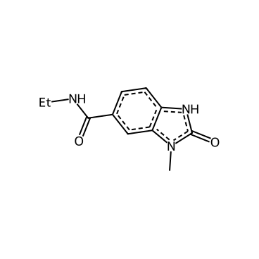 CCNC(=O)c1ccc2[nH]c(=O)n(C)c2c1